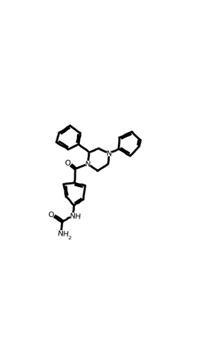 NC(=O)Nc1ccc(C(=O)N2CCN(c3ccccc3)CC2c2ccccc2)cc1